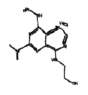 CCCNc1nc(N(C)C)nc2c(NCCO)ncnc12.Cl